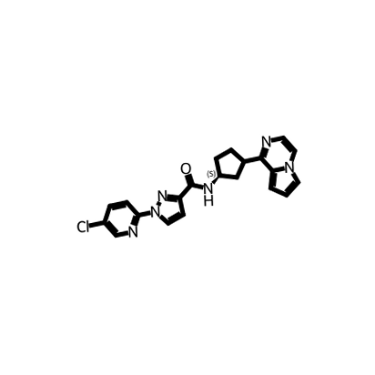 O=C(N[C@H]1CCC(c2nccn3cccc23)C1)c1ccn(-c2ccc(Cl)cn2)n1